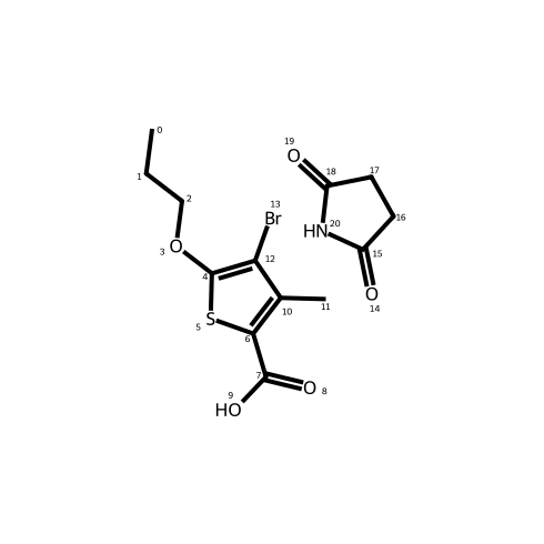 CCCOc1sc(C(=O)O)c(C)c1Br.O=C1CCC(=O)N1